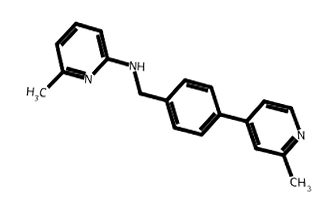 Cc1cc(-c2ccc(CNc3cccc(C)n3)cc2)ccn1